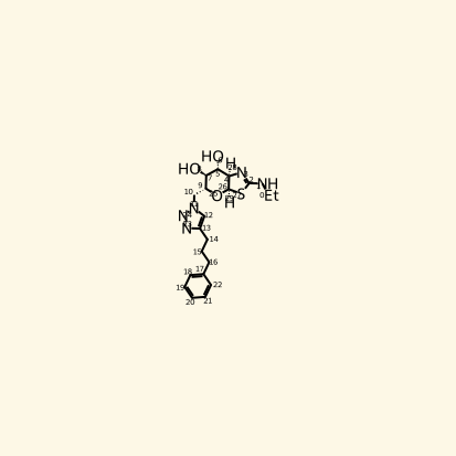 CCNC1=N[C@@H]2[C@@H](O)[C@H](O)[C@@H](Cn3cc(CCCc4ccccc4)nn3)O[C@@H]2S1